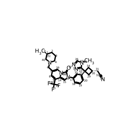 C[C@H]1CCCN(Cc2cc(C(F)(F)F)c3cn(-c4cccc([C@]5(c6nncn6C)C[C@@H](CC#N)C5)c4)c(=O)n3c2)C1